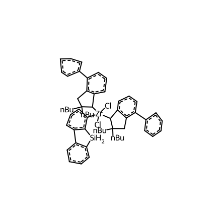 CCCCC1(CCCC)Cc2c(-c3ccccc3)cccc2[CH]1[Zr]([Cl])([Cl])([c]1cccc2c1[SiH2]c1ccccc1-2)[CH]1c2cccc(-c3ccccc3)c2CC1(CCCC)CCCC